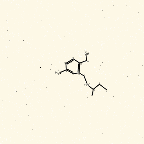 CCC(C)NCc1cc(N)ccc1CO